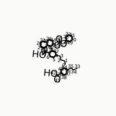 CCCCc1ccc(C(=O)O)c(-c2c(OC(=O)Oc3ccccc3)ccc3ccccc23)c1.CCCc1ccc(C(=O)O)cc1